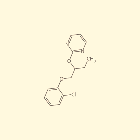 CCC(COc1ccccc1Cl)Oc1ncccn1